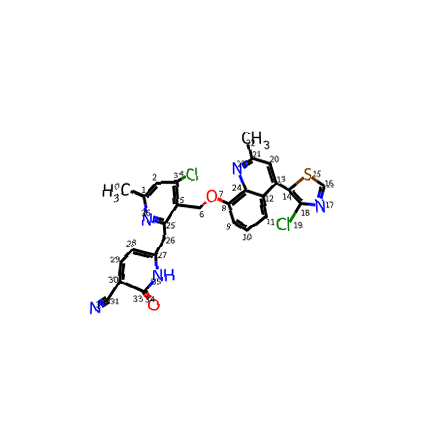 Cc1cc(Cl)c(COc2cccc3c(-c4scnc4Cl)cc(C)nc23)c(Cc2ccc(C#N)c(=O)[nH]2)n1